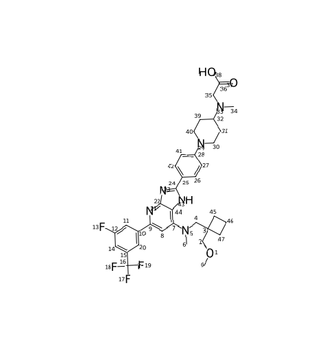 COCC1(CN(C)c2cc(-c3cc(F)cc(C(F)(F)F)c3)nc3nc(-c4ccc(N5CCC(N(C)CC(=O)O)CC5)cc4)[nH]c23)CCC1